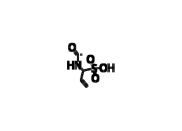 C=CC(N[C]=O)S(=O)(=O)O